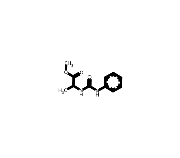 COC(=O)C(C)NC(=O)Nc1ccccc1